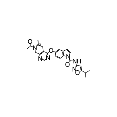 CC(=O)N1Cc2ncnc(Oc3ccc4c(ccn4C(=O)Nc4cc(C(C)C)on4)c3)c2C[C@@H]1C